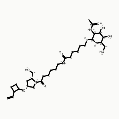 C=CC1CCC1O[C@@H]1C[C@@H](CO)N(C(=O)CCCCCNC(=O)CCCCCOC2OC(CO)C(O)C(O)C2NC(C)=O)C1